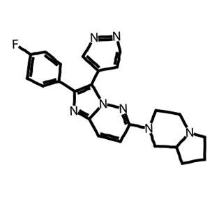 Fc1ccc(-c2nc3ccc(N4CCN5CCCC5C4)nn3c2-c2ccnnc2)cc1